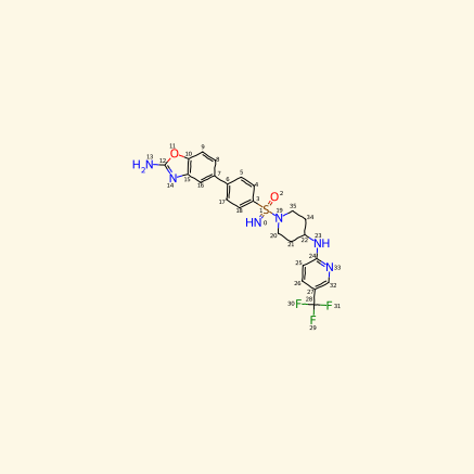 N=S(=O)(c1ccc(-c2ccc3oc(N)nc3c2)cc1)N1CCC(Nc2ccc(C(F)(F)F)cn2)CC1